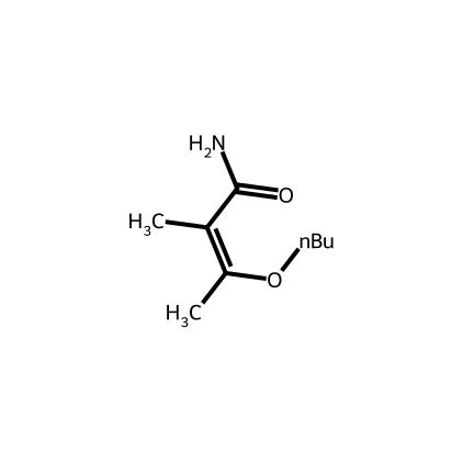 CCCCOC(C)=C(C)C(N)=O